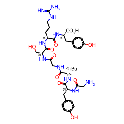 CC[C@H](C)[C@H](NC(=O)[C@H](Cc1ccc(O)cc1)NC(=O)CN)C(=O)NCC(=O)N[C@@H](CO)C(=O)N[C@@H](CCCNC(=N)N)C(=O)N[C@@H](Cc1ccc(O)cc1)C(=O)O